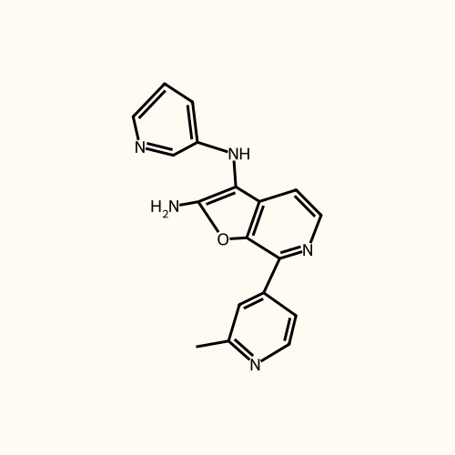 Cc1cc(-c2nccc3c(Nc4cccnc4)c(N)oc23)ccn1